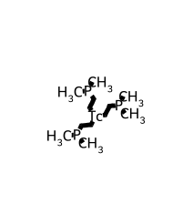 CP(C)C[CH2][Tc]([CH2]CP(C)C)[CH2]CP(C)C